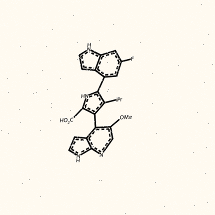 COc1cnc2[nH]ccc2c1-c1c(C(=O)O)[nH]c(-c2cc(F)cc3[nH]ccc23)c1C(C)C